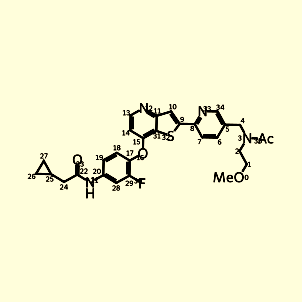 COCCN(Cc1ccc(-c2cc3nccc(Oc4ccc(NC(=O)CC5CC5)cc4F)c3s2)nc1)C(C)=O